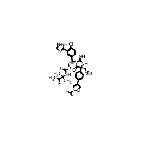 CC(F)C(C)(C)NC(=O)OC[C@H](c1ccc(Cl)c(-c2ncn[nH]2)c1)N1C(=N)N[C@](CC(C)(C)C)(c2ccc(-c3cnn(C(F)F)c3)cc2)C1=O